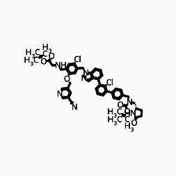 CC(C)(C)OC(=O)CNCc1cc(Cl)c(Cn2ncc3c(-c4cccc(-c5ccc(CN(C[C@@H]6CCC(=O)N6)C(=O)OC(C)(C)C)cc5)c4Cl)cccc32)cc1OCc1cncc(C#N)c1